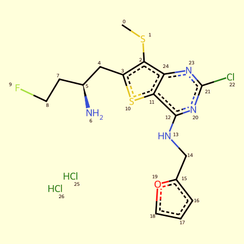 CSc1c(C[C@@H](N)CCF)sc2c(NCc3ccco3)nc(Cl)nc12.Cl.Cl